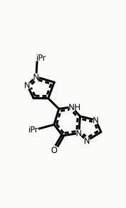 CC(C)c1c(-c2cnn(C(C)C)c2)[nH]c2ncnn2c1=O